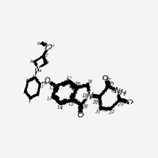 COC1CN([C@@H]2CCCC[C@H]2Oc2ccc3c(c2)CN(C2CCC(=O)NC2=O)C3=O)C1